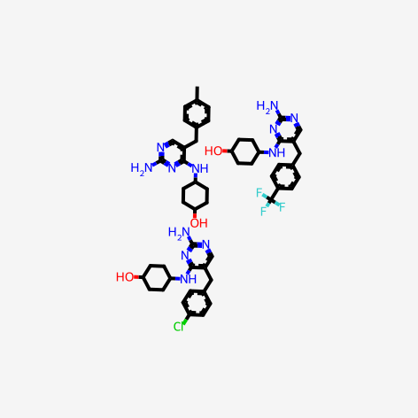 Cc1ccc(Cc2cnc(N)nc2NC2CCC(O)CC2)cc1.Nc1ncc(Cc2ccc(C(F)(F)F)cc2)c(NC2CCC(O)CC2)n1.Nc1ncc(Cc2ccc(Cl)cc2)c(NC2CCC(O)CC2)n1